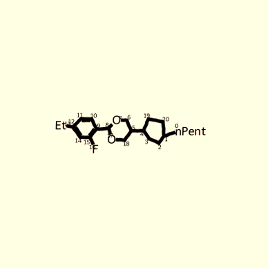 CCCCCC1CCC(C2COC(c3ccc(CC)cc3F)OC2)CC1